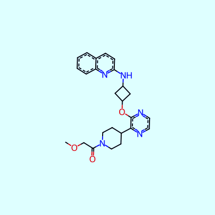 COCC(=O)N1CCC(c2nccnc2OC2CC(Nc3ccc4ccccc4n3)C2)CC1